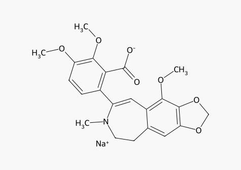 COc1ccc(C2=Cc3c(cc4c(c3OC)OCO4)CCN2C)c(C(=O)[O-])c1OC.[Na+]